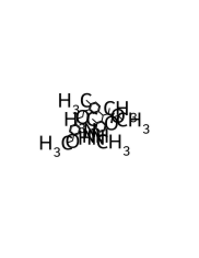 CNc1ccc(C(c2ccc(C)c(COCc3ccc(OC)cc3)c2)C(C)C(=O)OC)c(C)c1N=N